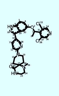 CC(Oc1ccc2[nH]nc(-c3ccc(N4CCC5(CC4)C(=O)NCCN5C)nc3)c2c1)c1c(Cl)cncc1Cl